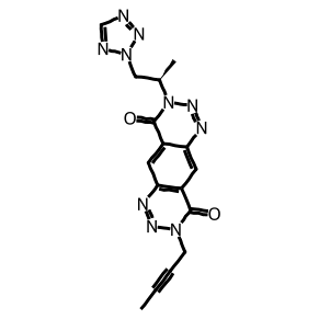 CC#CCn1nnc2cc3c(=O)n([C@H](C)Cn4ncnn4)nnc3cc2c1=O